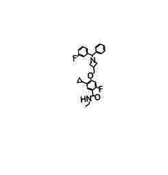 CCNC(=O)c1cc(C2CC2)c(OCC2CN(C(c3ccccc3)c3cccc(F)c3)C2)cc1F